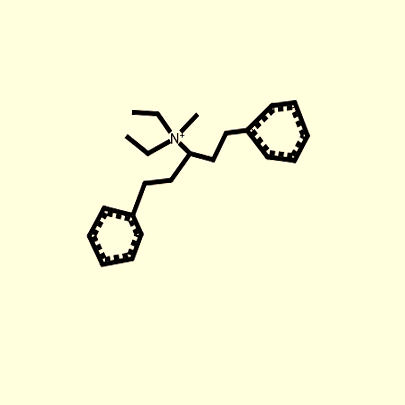 CC[N+](C)(CC)C(CCc1ccccc1)CCc1ccccc1